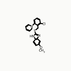 COc1ccc2[nH]c(SCc3c(Cl)cccc3N3C=CC=CC3)nc2c1